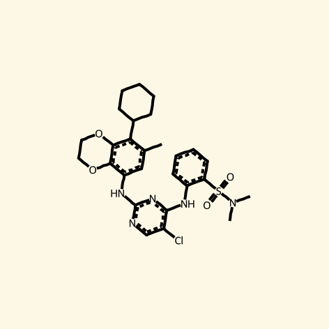 Cc1cc(Nc2ncc(Cl)c(Nc3ccccc3S(=O)(=O)N(C)C)n2)c2c(c1C1CCCCC1)OCCO2